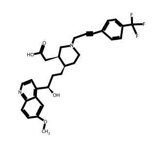 COc1ccc2nccc([C@H](O)CC[C@@H]3CCN(CC#Cc4ccc(C(F)(F)F)cc4)C[C@@H]3CC(=O)O)c2c1